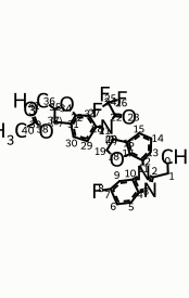 CCc1nc2ccc(F)cc2n1-c1cccc2c1OC[C@@H]2N(C(=O)C(F)(F)F)c1ccc2c(c1)OC(C)[C@H]2OC(C)=O